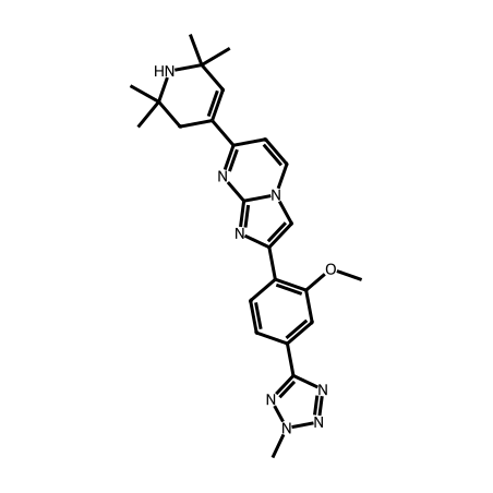 COc1cc(-c2nnn(C)n2)ccc1-c1cn2ccc(C3=CC(C)(C)NC(C)(C)C3)nc2n1